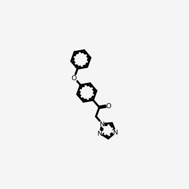 O=C(Cn1cncn1)c1ccc(Oc2ccccc2)cc1